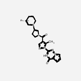 Cc1c(C(=O)N2CCC(N3CCC[C@@H](F)C3)C2)cnn1-c1nn2cccc2c(=O)[nH]1